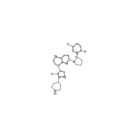 Fc1ccc(F)c([C@H]2CCCN2c2ccc3nccc(-c4cnn(C5CCNCC5)c4F)c3n2)c1